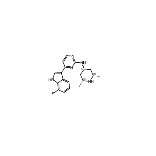 C[C@@H]1C[C@@H](Nc2nccc(-c3c[nH]c4c(F)cccc34)n2)C[C@H](C)N1